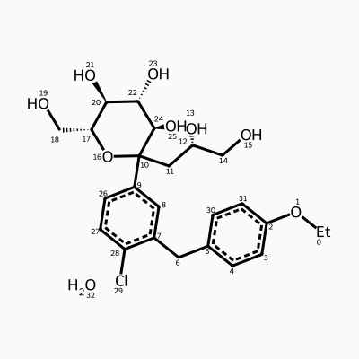 CCOc1ccc(Cc2cc(C3(C[C@H](O)CO)O[C@H](CO)[C@@H](O)[C@H](O)[C@H]3O)ccc2Cl)cc1.O